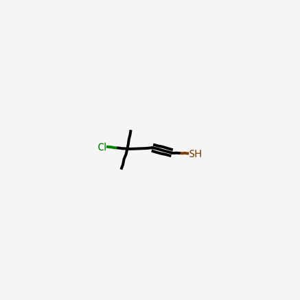 CC(C)(Cl)C#CS